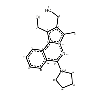 Cc1c(CO)c(CO)c2c3ccccc3c(N3CCCC3)nn12